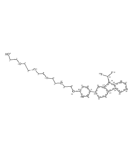 OCCOCCOCCOCCOCCOc1ccc(-c2ccc3c4cnccc4n(C(F)F)c3c2)cn1